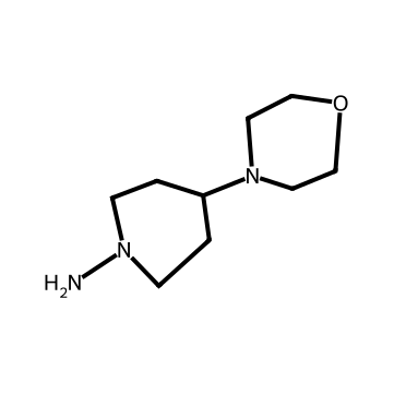 NN1CCC(N2CCOCC2)CC1